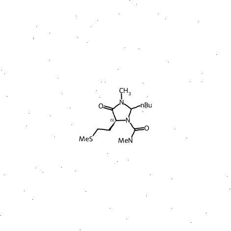 CCCCC1N(C)C(=O)[C@H](CCSC)N1C(=O)NC